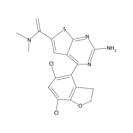 C=C(c1cc2c(-c3c(Cl)cc(Cl)c4c3CCO4)nc(N)nc2s1)N(C)C